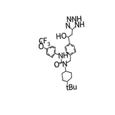 CC(C)(C)C1CCC(N(Cc2ccc(C(O)CC3N=NNN3)cc2)C(=O)Nc2ccc(OC(F)(F)F)cc2)CC1